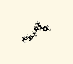 Cc1nc(NC(=O)Oc2cnn3c(C(F)(F)F)cc(-c4ccc(Cl)c(Cl)c4)nc23)sc1S(=O)(=O)NC(C)(C)CO